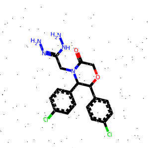 N/N=C(/CN1C(=O)COC(c2ccc(Cl)cc2)C1c1ccc(Cl)cc1)NN